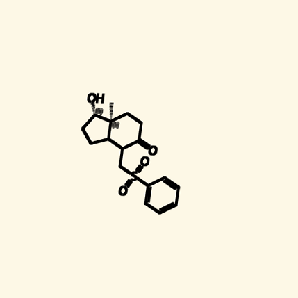 C[C@]12CCC(=O)C(CS(=O)(=O)c3ccccc3)C1CC[C@@H]2O